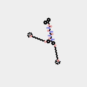 CC(C)[Si](OCCCCCCCCCCCOc1ccc(C(NC(=O)CNC(=O)CNC(=O)CNC(=O)OCC2c3ccccc3-c3ccccc32)c2ccc(OCCCCCCCCCCCO[Si](C(C)C)(C(C)C)C(C)C)cc2)cc1)(C(C)C)C(C)C